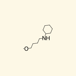 [O]CCCCNC1CCCCC1